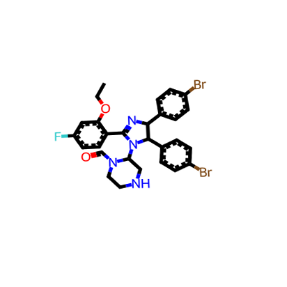 CCOc1cc(F)ccc1C1=NC(c2ccc(Br)cc2)C(c2ccc(Br)cc2)N1C1CNCCN1C=O